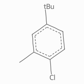 Cc1cc(C(C)(C)C)ccc1Cl